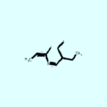 C/C=C(I)\N=C/C(CC)CI